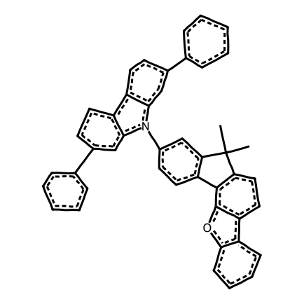 CC1(C)c2cc(-n3c4cc(-c5ccccc5)ccc4c4ccc(-c5ccccc5)cc43)ccc2-c2c1ccc1c2oc2ccccc21